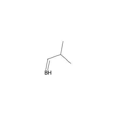 B=CC(C)C